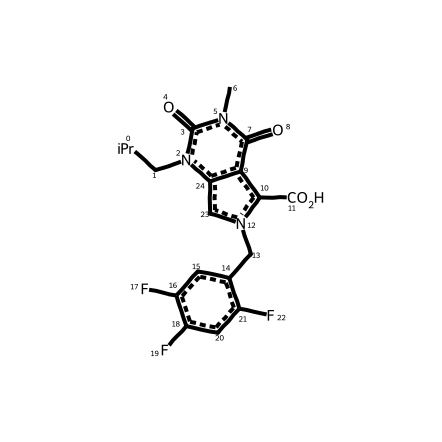 CC(C)Cn1c(=O)n(C)c(=O)c2c(C(=O)O)n(Cc3cc(F)c(F)cc3F)cc21